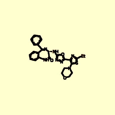 CCc1nc(-c2nnc(N[C@H]3N=C(c4ccccc4)c4ccccc4NC3=O)o2)c(N2CCOCC2)s1